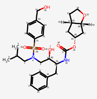 CC(C)CN(C[C@@H](O)[C@H](Cc1ccccc1)NC(=O)O[C@@H]1C[C@@H]2CCO[C@@H]2C1)S(=O)(=O)c1ccc(CO)cc1